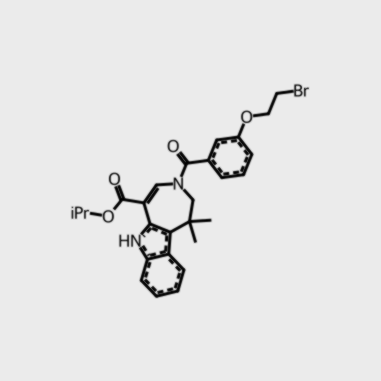 CC(C)OC(=O)C1=CN(C(=O)c2cccc(OCCBr)c2)CC(C)(C)c2c1[nH]c1ccccc21